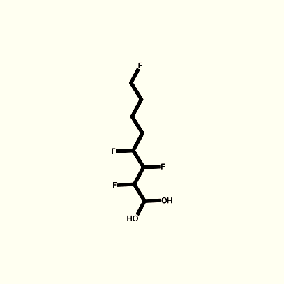 OC(O)C(F)C(F)C(F)CCCCF